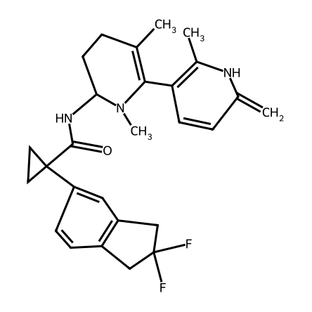 C=C1C=CC(C2=C(C)CCC(NC(=O)C3(c4ccc5c(c4)CC(F)(F)C5)CC3)N2C)=C(C)N1